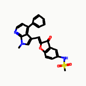 Cn1cc(C=C2Oc3ccc(NS(C)(=O)=O)cc3C2=O)c2c(-c3ccccc3)ccnc21